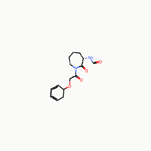 O=[C]N[C@H]1CCCCN(C(=O)COC2C=CC=CC2)C1=O